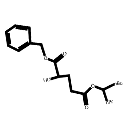 CCCCC(CCC)OC(=O)CCC(O)C(=O)OCc1ccccc1